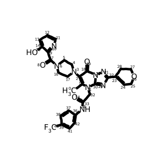 Cc1c(N2CCN(C(=O)c3ncccc3O)CC2)c(=O)n2nc(C3=CCOCC3)nc2n1CC(=O)Nc1ccc(C(F)(F)F)cc1